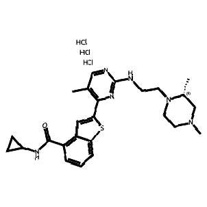 Cc1cnc(NCCN2CCN(C)C[C@H]2C)nc1-c1cc2c(C(=O)NC3CC3)cccc2s1.Cl.Cl.Cl